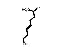 CCC(CCC=CCCC(=O)O)C(=O)O